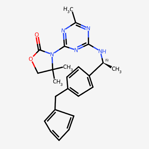 Cc1nc(N[C@@H](C)c2ccc(Cc3ccccc3)cc2)nc(N2C(=O)OCC2(C)C)n1